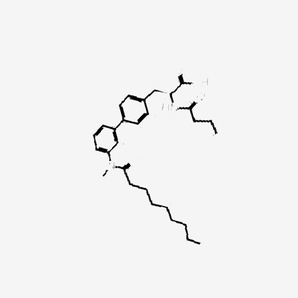 CCCCCCCCC(=O)N(C)c1cccc(-c2ccc(C[C@H](NC(=O)CCC)C(=O)O)cc2)c1